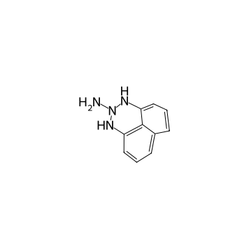 NN1Nc2cccc3cccc(c23)N1